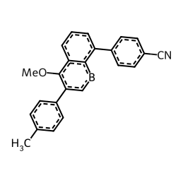 COc1c(-c2ccc(C)cc2)cbc2c(-c3ccc(C#N)cc3)cccc12